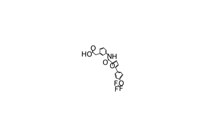 O=C(O)Cc1cccc(NC(=O)c2ccc(-c3ccc(OC(F)(F)F)cc3)o2)c1